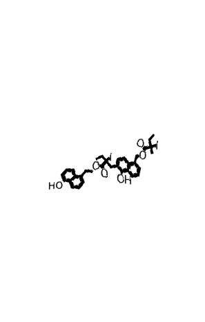 CCC(C)(I)C(=O)OCc1cccc2c(O)c(CC(I)(CC)C(=O)OCCc3cccc4c(O)cccc34)ccc12